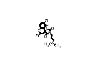 CCC1CC2(NC(=O)N(CCCN(C)C)C2=O)c2cc(Cl)ccc2O1